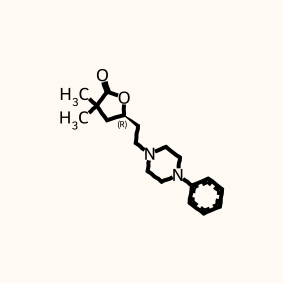 CC1(C)C[C@H](CCN2CCN(c3ccccc3)CC2)OC1=O